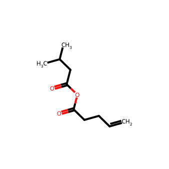 C=CCCC(=O)OC(=O)CC(C)C